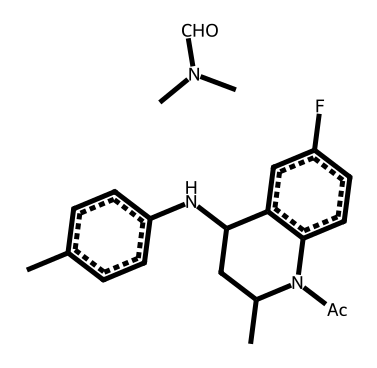 CC(=O)N1c2ccc(F)cc2C(Nc2ccc(C)cc2)CC1C.CN(C)C=O